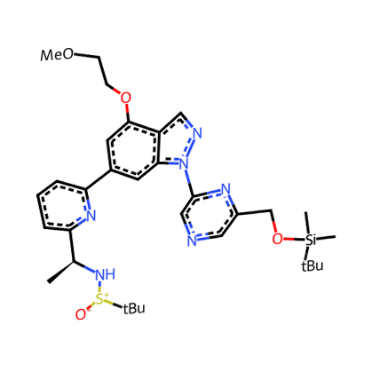 COCCOc1cc(-c2cccc([C@H](C)N[S+]([O-])C(C)(C)C)n2)cc2c1cnn2-c1cncc(CO[Si](C)(C)C(C)(C)C)n1